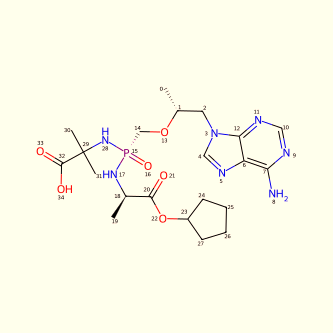 C[C@H](Cn1cnc2c(N)ncnc21)OC[P@](=O)(N[C@H](C)C(=O)OC1CCCC1)NC(C)(C)C(=O)O